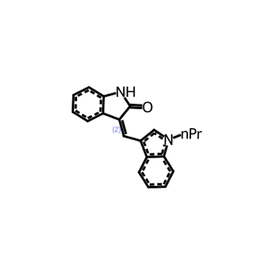 CCCn1cc(/C=C2\C(=O)Nc3ccccc32)c2ccccc21